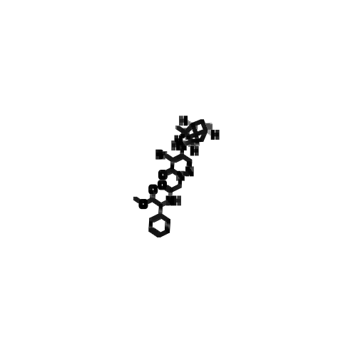 COC(=O)C(NC(=O)Cn1ncc(N[C@@H]2C[C@@H]3C[C@H]([C@H]2C)C3(C)C)c(Br)c1=O)c1ccccc1